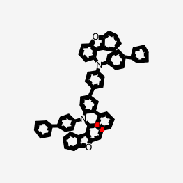 c1ccc(-c2ccc(N(c3ccc(-c4ccc(N(c5ccc(-c6ccccc6)cc5)c5cccc6oc7ccccc7c56)c(-c5ccccc5)c4)cc3)c3cccc4oc5ccccc5c34)cc2)cc1